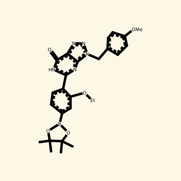 CCOc1cc(B2OC(C)(C)C(C)(C)O2)ccc1-c1nc2c(nnn2Cc2ccc(OC)cc2)c(=O)[nH]1